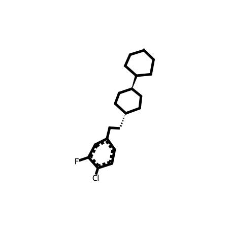 Fc1cc(CC[C@H]2CC[C@H](C3CC[CH]CC3)CC2)ccc1Cl